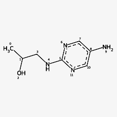 CC(O)CNc1ncc(N)cn1